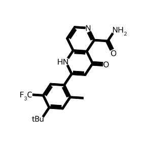 Cc1cc(C(C)(C)C)c(C(F)(F)F)cc1-c1cc(=O)c2c(C(N)=O)nccc2[nH]1